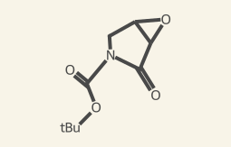 CC(C)(C)OC(=O)N1CC2OC2C1=O